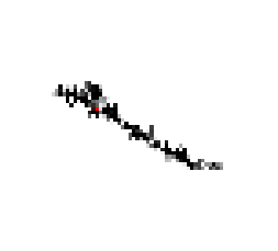 CCCCCCCCCCCCCC(=O)NCCOCCOCCNC(=O)CCOCCOCCNC(=O)[C@H](CCCNC(=O)OC(C)(C)C)NC(=O)OC(C)(C)C